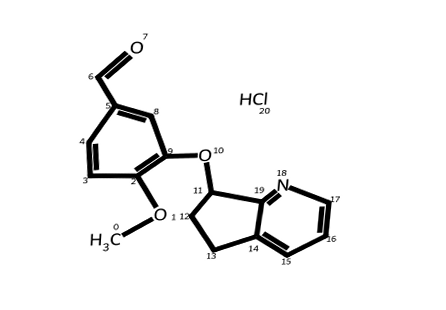 COc1ccc(C=O)cc1OC1CCc2cccnc21.Cl